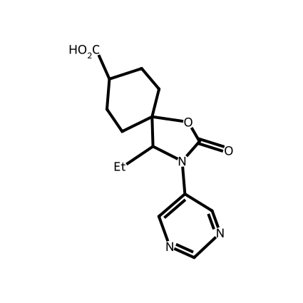 CCC1N(c2cncnc2)C(=O)OC12CCC(C(=O)O)CC2